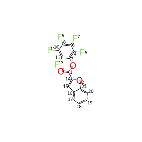 O=C(Oc1c(F)c(F)c(F)c(F)c1F)c1cc2ccccc2o1